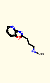 O=CNCCCc1nc2ncccc2o1